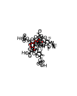 CO[C@H]1OC(COS(=O)(=O)O)[C@@H](O[C@@H]2OC(C=O)[C@H](O[C@@H]3OC(COS(=O)(=O)O)[C@@H](O[C@@H]4OC(C(=O)O)[C@@H](O[C@H]5OC(COS(=O)(=O)O)[C@@H](C)[C@H](C)C5N=[N+]=[N-])[C@H](C)C4C)CC3N=[N+]=[N-])C(OCc3ccccc3)[C@@H]2OS(=O)(=O)O)[C@H](C)C1N=[N+]=[N-]